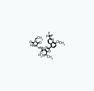 CCN1C(=O)N[C@@H](CNC(=O)c2nc(-c3ccc(OC)c4nc(C(F)(F)F)ccc34)oc2[C@H](C)N)C1=O